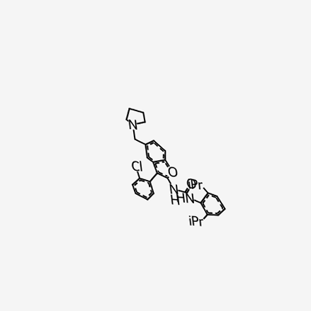 CC(C)c1cccc(C(C)C)c1NC(=O)Nc1oc2ccc(CN3CCCC3)cc2c1-c1ccccc1Cl